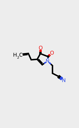 C=CCC1=CN(CCC#N)C(=O)C1=O